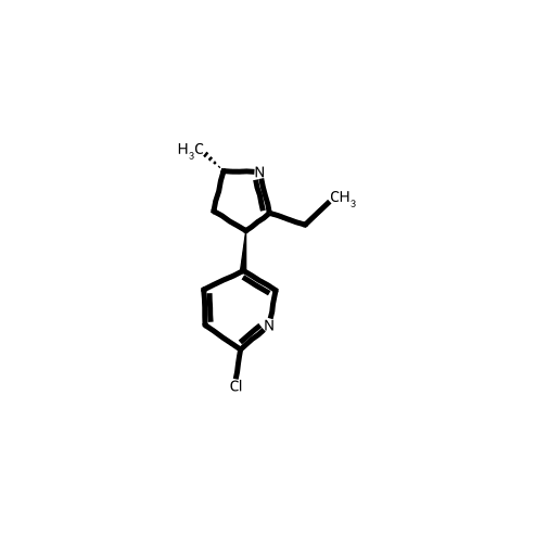 CCC1=N[C@@H](C)C[C@@H]1c1ccc(Cl)nc1